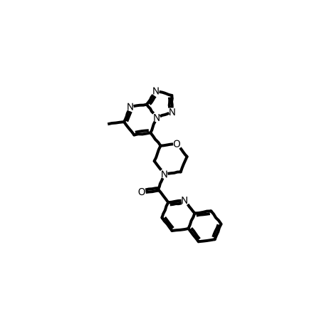 Cc1cc(C2CN(C(=O)c3ccc4ccccc4n3)CCO2)n2ncnc2n1